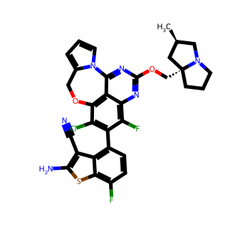 C[C@H]1CN2CCC[C@@]2(COc2nc3c4c(c(Cl)c(-c5ccc(F)c6sc(N)c(C#N)c56)c(F)c4n2)OCc2cccn2-3)C1